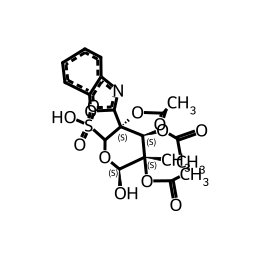 CC(=O)O[C@H]1[C@](C)(OC(C)=O)[C@@H](O)OC(S(=O)(=O)O)[C@@]1(OC(C)=O)c1nc2ccccc2o1